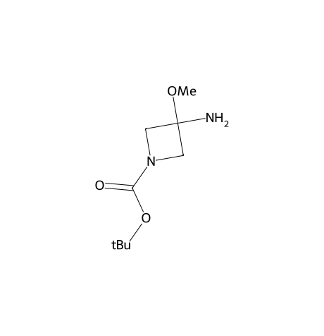 COC1(N)CN(C(=O)OC(C)(C)C)C1